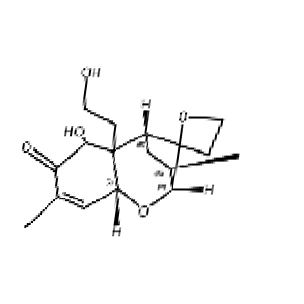 CC1=C[C@H]2O[C@@H]3[C@H](C)C[C@@H](C34CCO4)C2(CCO)C(O)C1=O